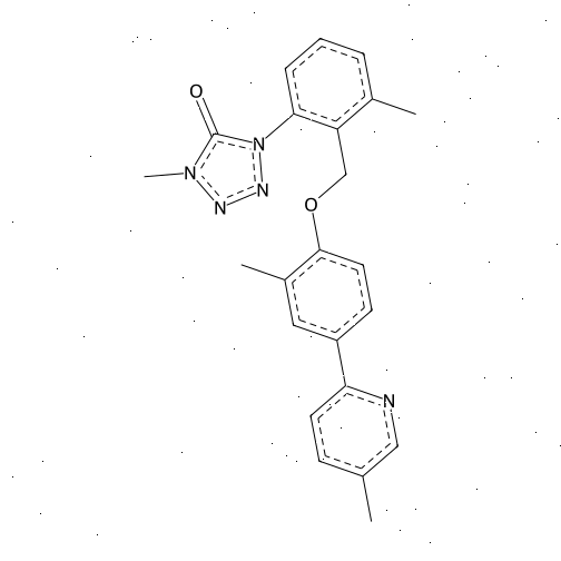 Cc1ccc(-c2ccc(OCc3c(C)cccc3-n3nnn(C)c3=O)c(C)c2)nc1